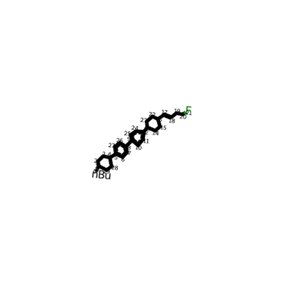 CCCCC1CCC(c2ccc(-c3ccc(C4CCC(C=CCCF)CC4)cc3)cc2)CC1